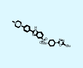 CN1CCN(c2ccc(-c3nc4cc(S(=O)(=O)N[C@H]5CC[C@H](c6nnc(C(C)(C)C)o6)CC5)ccc4[nH]3)cc2)CC1